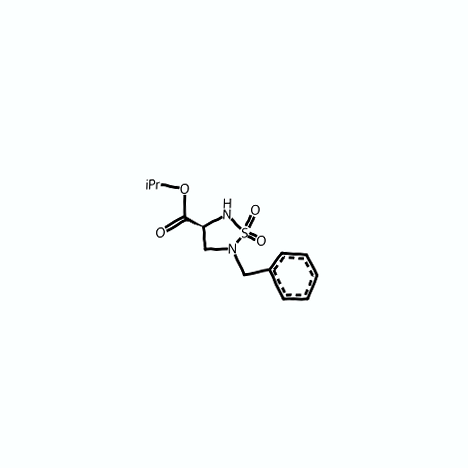 CC(C)OC(=O)[C@@H]1CN(Cc2ccccc2)S(=O)(=O)N1